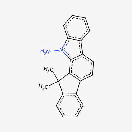 CC1(C)c2ccccc2-c2ccc3c4ccccc4n(N)c3c21